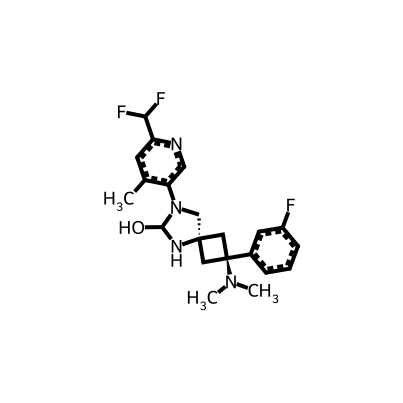 Cc1cc(C(F)F)ncc1N1C[C@]2(C[C@](c3cccc(F)c3)(N(C)C)C2)NC1O